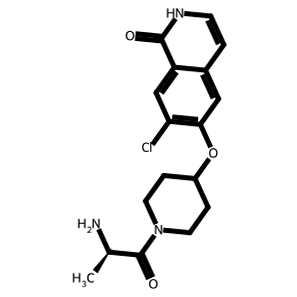 C[C@@H](N)C(=O)N1CCC(Oc2cc3cc[nH]c(=O)c3cc2Cl)CC1